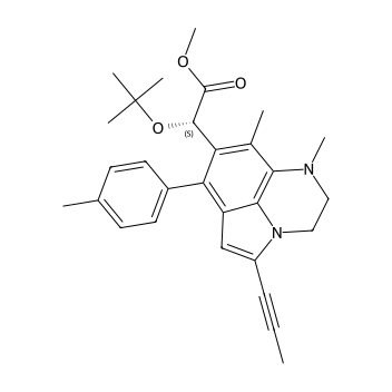 CC#Cc1cc2c(-c3ccc(C)cc3)c([C@H](OC(C)(C)C)C(=O)OC)c(C)c3c2n1CCN3C